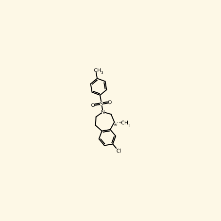 Cc1ccc(S(=O)(=O)N2CCc3ccc(Cl)cc3[C@@H](C)C2)cc1